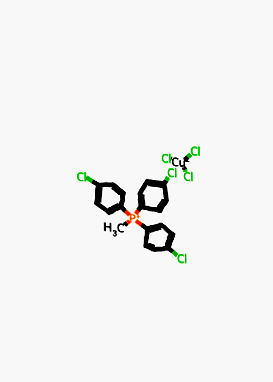 C[P+](c1ccc(Cl)cc1)(c1ccc(Cl)cc1)c1ccc(Cl)cc1.[Cl][Cu-]([Cl])[Cl]